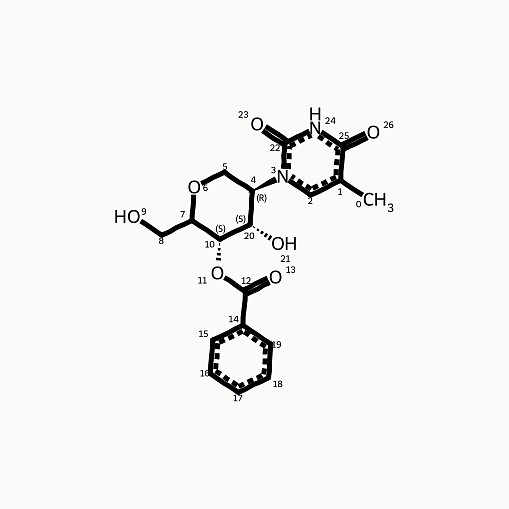 Cc1cn([C@@H]2COC(CO)[C@@H](OC(=O)c3ccccc3)[C@H]2O)c(=O)[nH]c1=O